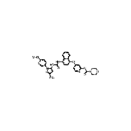 CCCCc1cc(NC(=O)Nc2ccc(Oc3ccnc(NC(=O)N4CCOCC4)c3)c3ccccc23)n(-c2ccc(OC)nc2)n1